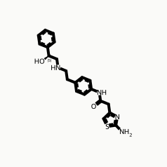 Nc1nc(CC(=O)Nc2ccc(CCNC[C@@H](O)c3ccccc3)cc2)cs1